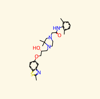 Cc1nc2cc(OC[C@H](O)CN3CCN(CC(=O)Nc4c(C)cccc4C)CC3(C)C)ccc2s1